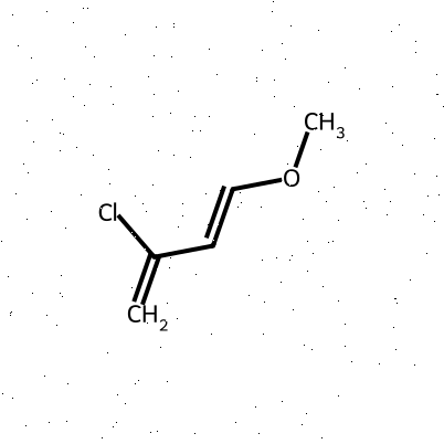 C=C(Cl)C=COC